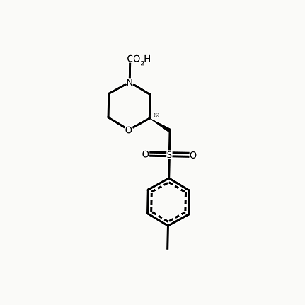 Cc1ccc(S(=O)(=O)C[C@@H]2CN(C(=O)O)CCO2)cc1